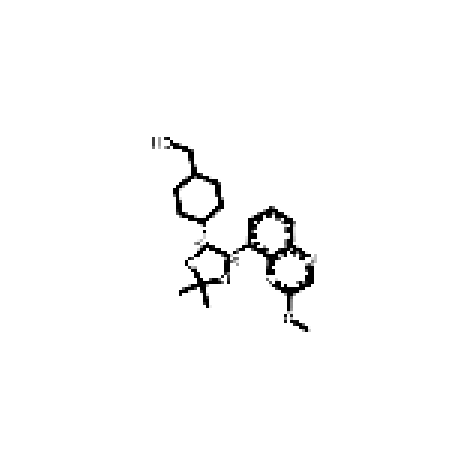 COc1cnc2cccc([C@H]3OC(C)(C)O[C@@H]3C3CCC(CO)CC3)c2n1